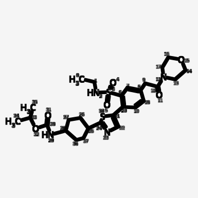 CCNS(=O)(=O)c1cc(CC(=O)N2CCOCC2)ccc1-c1cnc(C2CCC(NC(=O)OC(C)C)CC2)s1